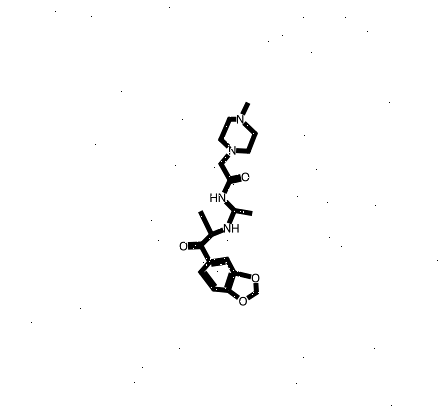 CC(NC(=O)CN1CCN(C)CC1)NC(C)C(=O)c1ccc2c(c1)OCO2